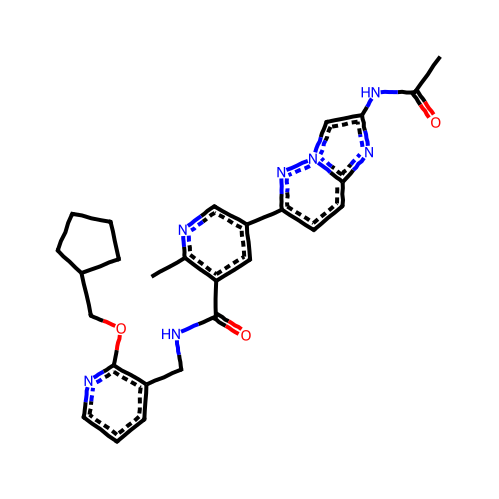 CC(=O)Nc1cn2nc(-c3cnc(C)c(C(=O)NCc4cccnc4OCC4CCCC4)c3)ccc2n1